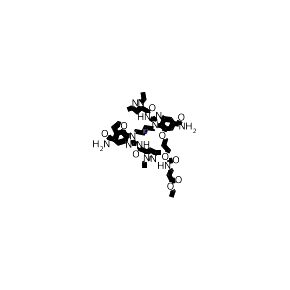 CCOC(=O)CCNC(=O)OCCCOc1cc(C(N)=O)cc2nc(NC(=O)c3cc(C)nn3CC)n(C/C=C/Cn3c(NC(=O)c4cc(C)nn4CC)nc4cc(C(N)=O)c5ccoc5c43)c12